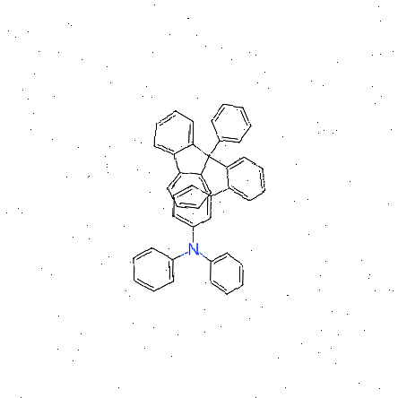 c1ccc(N(c2ccccc2)c2cccc(-c3ccccc3C3(c4ccccc4)c4ccccc4-c4ccccc43)c2)cc1